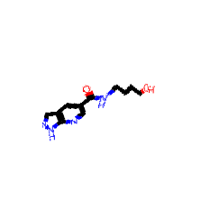 O=C(NCCCCO)c1cnc2[nH]ncc2c1